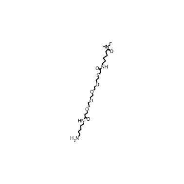 NCCCCCNC(=O)CCOCCOCCOCCOCCSCC(=O)NCCCCCC(=O)NF